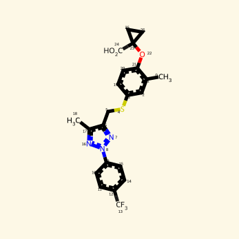 Cc1cc(SCc2nn(-c3ccc(C(F)(F)F)cc3)nc2C)ccc1OC1(C(=O)O)CC1